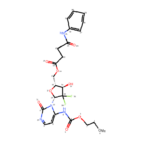 COCCOC(=O)Nc1ccnc(=O)n1[C@@H]1O[C@H](COC(=O)CCC(=O)Nc2ccccc2)[C@@H](O)C1(F)F